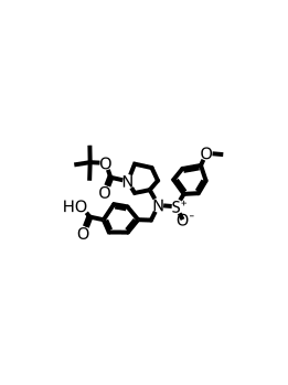 COc1ccc([S+]([O-])N(Cc2ccc(C(=O)O)cc2)C2CCCN(C(=O)OC(C)(C)C)C2)cc1